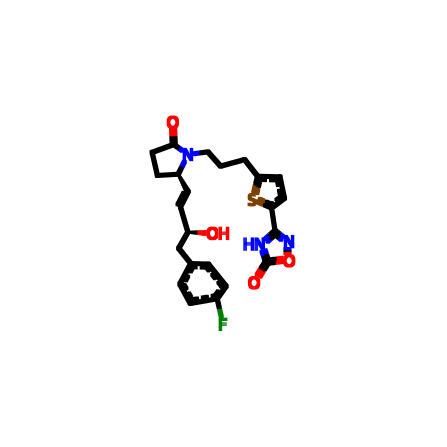 O=C1CC[C@H](/C=C/[C@@H](O)Cc2ccc(F)cc2)N1CCCc1ccc(-c2noc(=O)[nH]2)s1